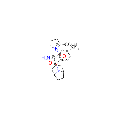 N[C@H](C(=O)N1CCC[C@H]1C(=O)O)C1CC2CCC(C1)N2C(=O)c1ccc(C(F)(F)F)cc1